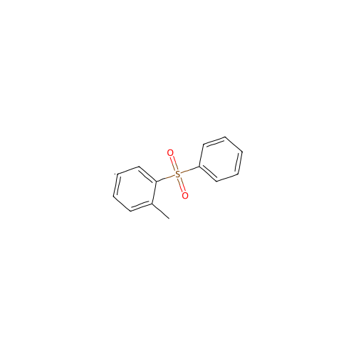 Cc1cc[c]cc1S(=O)(=O)c1ccccc1